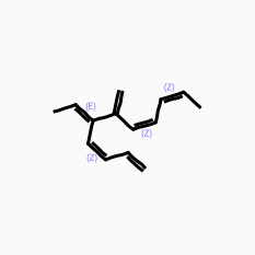 C=C/C=C\C(=C/C)C(=C)/C=C\C=C/C